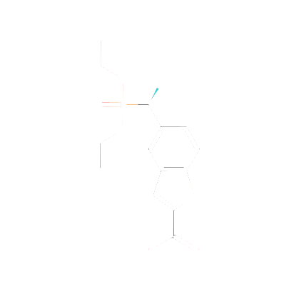 CCOP(=O)(OCC)[C@@H](F)c1ccc2sc(C(=O)O)cc2c1